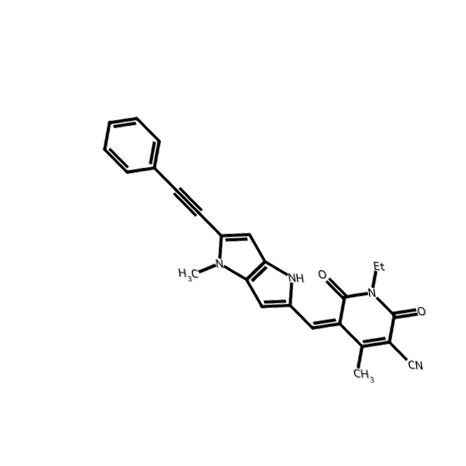 CCN1C(=O)C(C#N)=C(C)/C(=C/c2cc3c(cc(C#Cc4ccccc4)n3C)[nH]2)C1=O